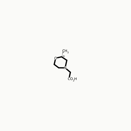 C[C@@H]1CN(CC(=O)O)CCO1